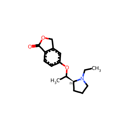 CCN1CCC[C@H]1C(C)Oc1ccc2c(c1)COC2=O